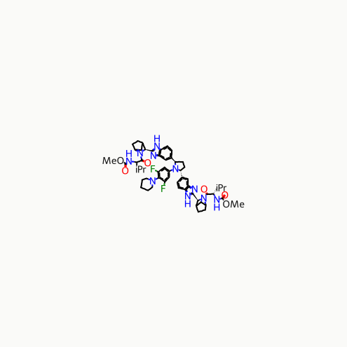 COC(=O)NC(C(=O)N1C2CCC(C2)[C@H]1c1nc2cc([C@H]3CC[C@H](c4ccc5[nH]c([C@@H]6C7CCC(C7)N6C(=O)[C@@H](NC(=O)OC)C(C)C)nc5c4)N3c3cc(F)c(N4CCCCC4)c(F)c3)ccc2[nH]1)C(C)C